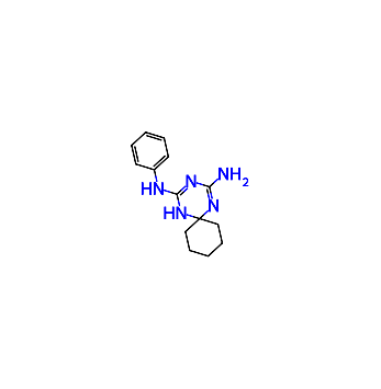 NC1=NC2(CCCCC2)NC(Nc2ccccc2)=N1